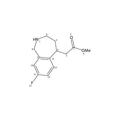 COC(=O)CC1CCNCc2cc(F)ccc21